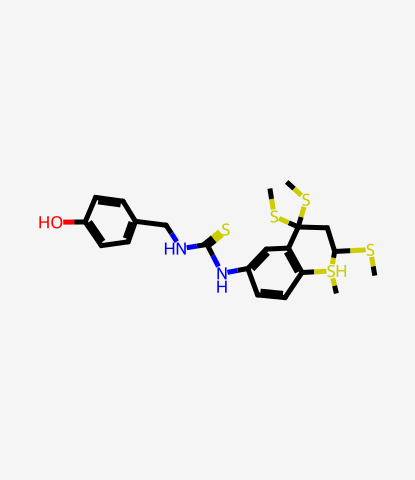 CSC1CC(SC)(SC)c2cc(NC(=S)NCc3ccc(O)cc3)ccc2[SH]1C